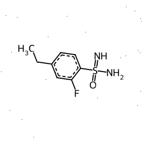 CCc1ccc(S(=N)(N)=O)c(F)c1